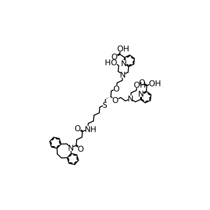 O=C(CCC(=O)N1Cc2ccccc2CCc2ccccc21)NCCCCCSC[C@H](COCCN(CCO)Cc1cccc(C(=O)O)n1)OCCN(CCO)Cc1cccc(C(=O)O)n1